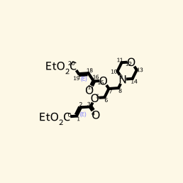 CCOC(=O)/C=C/C(=O)OCC(CN1CCOCC1)OC(=O)/C=C/C(=O)OCC